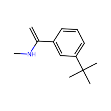 C=C(NC)c1cccc(C(C)(C)C)c1